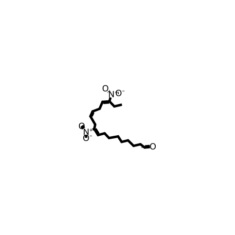 CC/C(=C\C/C=C\C/C(=C\CCCCCCC[C]=O)[N+](=O)[O-])[N+](=O)[O-]